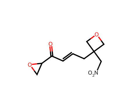 O=C(/C=C/CC1(C[N+](=O)[O-])COC1)C1CO1